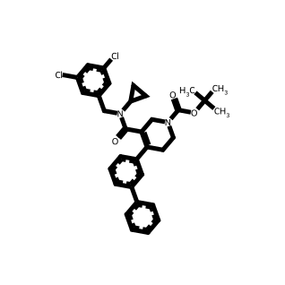 CC(C)(C)OC(=O)N1CCC(c2cccc(-c3ccccc3)c2)=C(C(=O)N(Cc2cc(Cl)cc(Cl)c2)C2CC2)C1